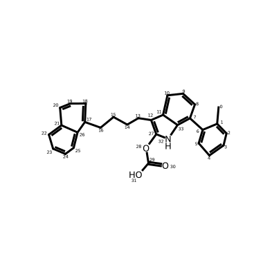 Cc1ccccc1-c1cccc2c(CCCCc3cccc4ccccc34)c(OC(=O)O)[nH]c12